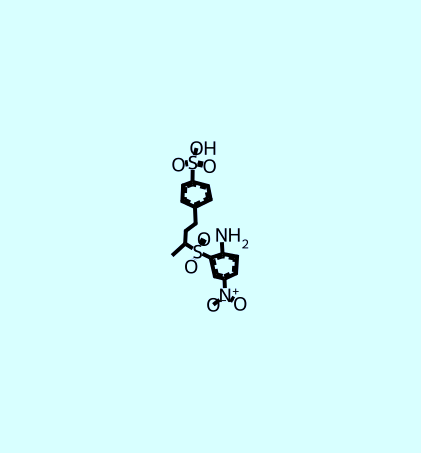 CC(CCc1ccc(S(=O)(=O)O)cc1)S(=O)(=O)c1cc([N+](=O)[O-])ccc1N